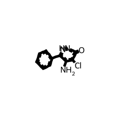 Nc1c(-c2ccccc2)n[nH]c(=O)c1Cl